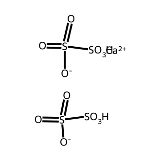 O=S(=O)([O-])S(=O)(=O)O.O=S(=O)([O-])S(=O)(=O)O.[Ca+2]